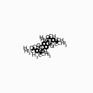 CC(C)(C)c1ccc(C(C)(C)C)c(N2C(=O)c3ccc4c5c(ccc(c35)C2=O)C(=O)N(c2cc(C(C)(C)C)ccc2C(C)(C)C)C4=O)c1